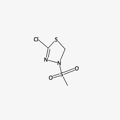 CS(=O)(=O)N1CSC(Cl)=N1